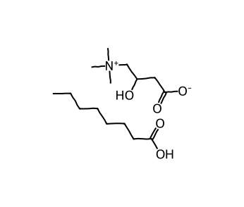 CCCCCCCC(=O)O.C[N+](C)(C)CC(O)CC(=O)[O-]